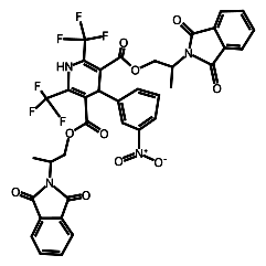 CC(COC(=O)C1=C(C(F)(F)F)NC(C(F)(F)F)=C(C(=O)OCC(C)N2C(=O)c3ccccc3C2=O)C1c1cccc([N+](=O)[O-])c1)N1C(=O)c2ccccc2C1=O